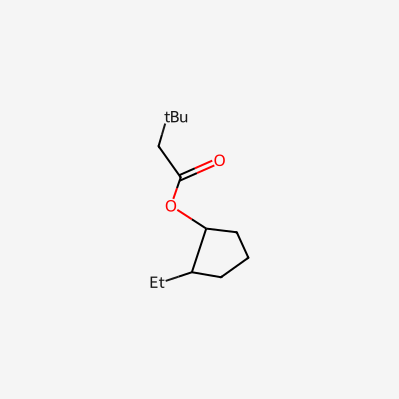 CCC1CCCC1OC(=O)CC(C)(C)C